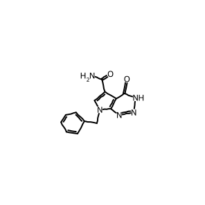 NC(=O)c1cn(Cc2ccccc2)c2nn[nH]c(=O)c12